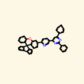 c1ccc(-c2cc(-c3ccc(-c4ccc5c(c4)Oc4ccccc4C54c5ccccc5-c5ccccc54)nc3)nc(-c3ccccc3)n2)cc1